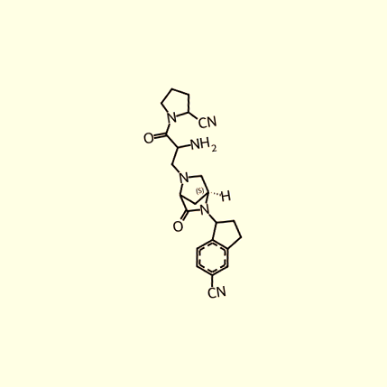 N#Cc1ccc2c(c1)CCC2N1C(=O)C2C[C@H]1CN2CC(N)C(=O)N1CCCC1C#N